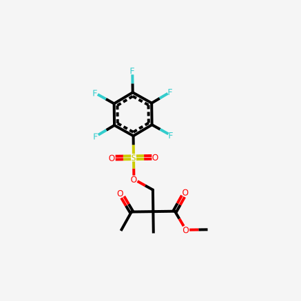 COC(=O)C(C)(COS(=O)(=O)c1c(F)c(F)c(F)c(F)c1F)C(C)=O